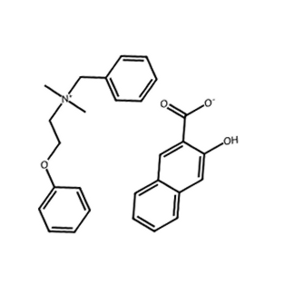 C[N+](C)(CCOc1ccccc1)Cc1ccccc1.O=C([O-])c1cc2ccccc2cc1O